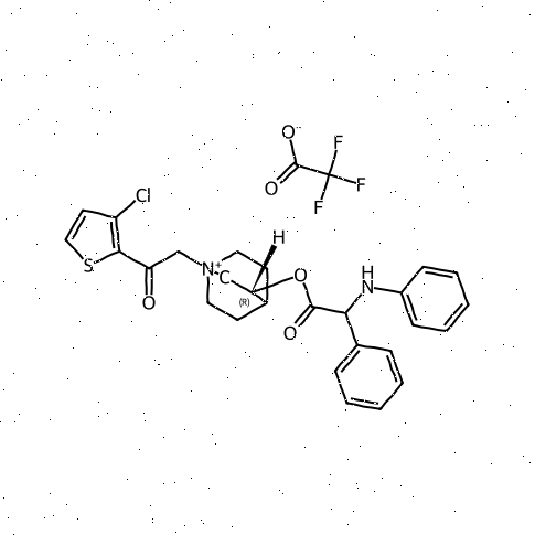 O=C(C[N+]12CCC(CC1)[C@@H](OC(=O)C(Nc1ccccc1)c1ccccc1)C2)c1sccc1Cl.O=C([O-])C(F)(F)F